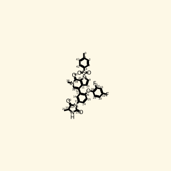 Cc1ccc(S(=O)(=O)n2ccc3c(-c4cc(N5C(=O)NC(C)C5=O)ccc4Oc4ccc(F)cc4F)cn(C)c(=O)c32)cc1